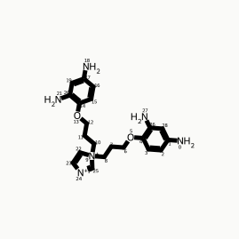 Nc1ccc(OCCC[N+]2(CCCOc3ccc(N)cc3N)C=C[N+]=C2)c(N)c1